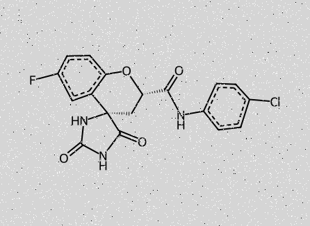 O=C1NC(=O)[C@@]2(C[C@@H](C(=O)Nc3ccc(Cl)cc3)Oc3ccc(F)cc32)N1